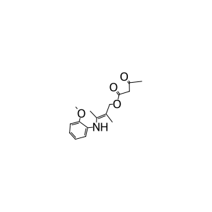 COc1ccccc1NC(C)=C(C)COC(=O)CC(C)=O